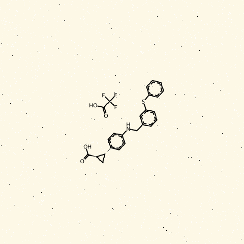 O=C(O)C(F)(F)F.O=C(O)[C@@H]1C[C@H]1c1ccc(NCc2cccc(Sc3ccccc3)c2)cc1